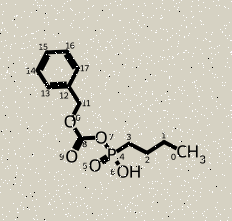 CCCCP(=O)(O)OC(=O)OCc1ccccc1